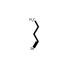 CCCC=[Se]